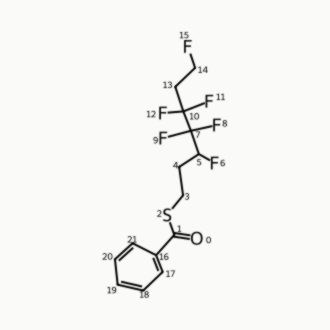 O=C(SCCC(F)C(F)(F)C(F)(F)CCF)c1ccccc1